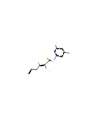 C=CC/C(O)=C(\C#N)C(=S)Nc1cc(C(F)(F)F)cc(C(F)(F)F)c1